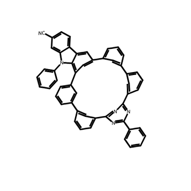 N#Cc1ccc2c3cc4cc(c5cccc(c5)c5cccc(c5)c5nc(-c6ccccc6)nc(n5)c5cccc(c5)c5cccc4c5)c3n(-c3ccccc3)c2c1